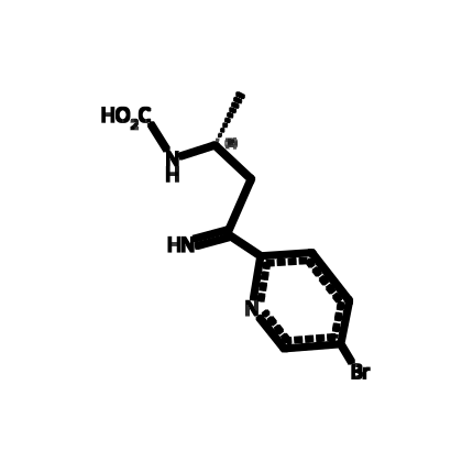 C[C@H](CC(=N)c1ccc(Br)cn1)NC(=O)O